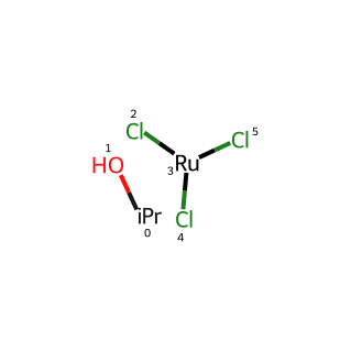 CC(C)O.[Cl][Ru]([Cl])[Cl]